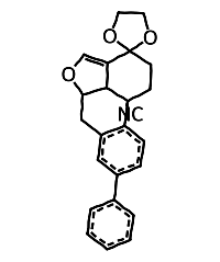 [C-]#[N+]C12CCC3(OCCO3)C3=COC(Cc4cc(-c5ccccc5)ccc41)C32